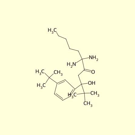 CCCCCC(N)(N)C(=O)CC(O)(c1cccc(C(C)(C)C)c1)C(C)(C)C